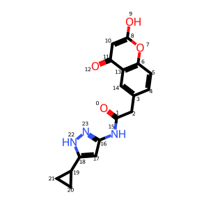 O=C(Cc1ccc2oc(O)cc(=O)c2c1)Nc1cc(C2CC2)[nH]n1